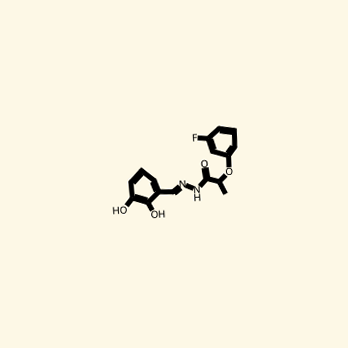 CC(Oc1cccc(F)c1)C(=O)NN=Cc1cccc(O)c1O